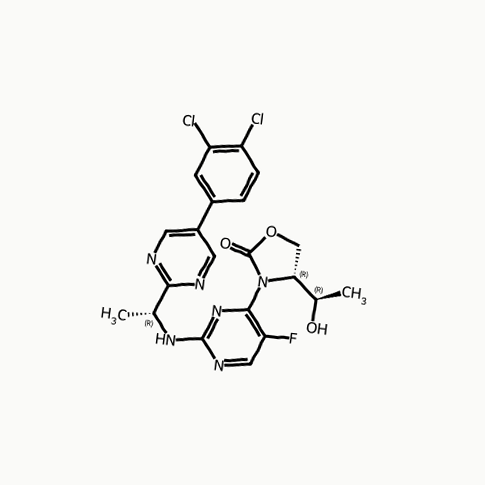 C[C@@H](Nc1ncc(F)c(N2C(=O)OC[C@@H]2[C@@H](C)O)n1)c1ncc(-c2ccc(Cl)c(Cl)c2)cn1